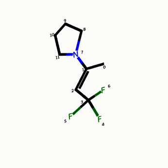 C/C(=C\C(F)(F)F)N1CCCC1